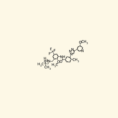 COc1cncc(-c2cn(-c3cc(C(=O)Nc4cc(C(F)(F)F)cc(CNCC(C)(C)C)c4OC)ccc3C)nn2)c1